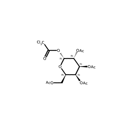 CC(=O)OC[C@H]1O[C@H](OC(=O)C(Cl)(Cl)Cl)[C@H](OC(C)=O)[C@@H](OC(C)=O)[C@H]1OC(C)=O